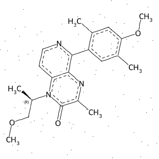 COC[C@@H](C)n1c(=O)c(C)nc2c(-c3cc(C)c(OC)cc3C)nccc21